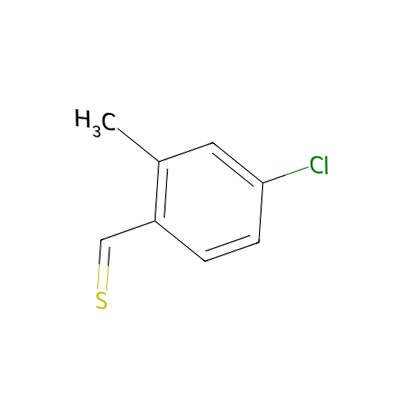 Cc1cc(Cl)ccc1C=S